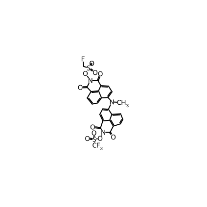 CN(c1ccc2c3c(cccc13)C(=O)N(OS(=O)(=O)CF)C2=O)c1ccc2c3c(cccc13)C(=O)N(OS(=O)(=O)C(F)(F)F)C2=O